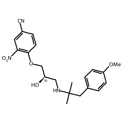 COc1ccc(CC(C)(C)NC[C@@H](O)COc2ccc(C#N)cc2[N+](=O)[O-])cc1